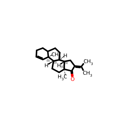 CC(C)=C1C[C@H]2[C@@H]3CCC4CCC=C[C@]4(C)[C@H]3CC[C@]2(C)C1=O